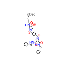 CCCCCCCCCCCCCCC(=O)N[C@@H]1CN(C(=O)c2ccc(C(=O)N3CC(C(=O)N[C@H]4C[C@@H]4c4ccccc4)[C@H](C(=O)N[C@H]4C[C@@H]4c4ccccc4)C3)cc2)C[C@H]1O